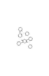 c1ccc(-n2c3ccccc3c3c4c5c(cc32)c2ccccc2n5-c2ccc3c5ccccc5n5c3c2B4c2ccccc2-5)cc1